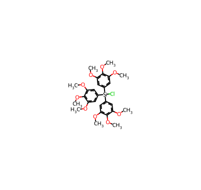 COc1cc([Si](Cl)(c2cc(OC)c(OC)c(OC)c2)c2cc(OC)c(OC)c(OC)c2)cc(OC)c1OC